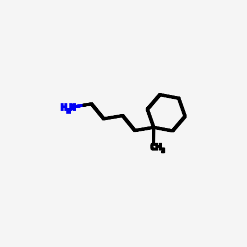 CC1(CCCCN)CCCCC1